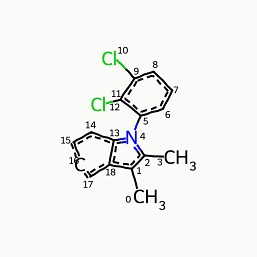 Cc1c(C)n(-c2cccc(Cl)c2Cl)c2ccccc12